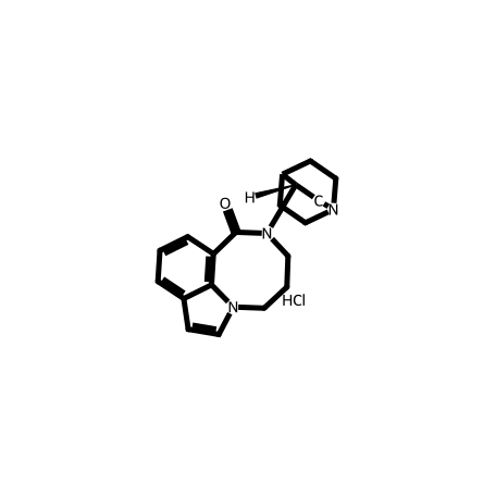 Cl.O=C1c2cccc3ccn(c23)CCCN1[C@H]1CN2CCC1CC2